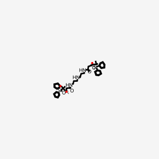 C[C@H](CC(=O)NCCCNCCCNC(=O)C[C@H](C)O[Si](c1ccccc1)(c1ccccc1)C(C)(C)C)O[Si](c1ccccc1)(c1ccccc1)C(C)(C)C